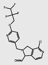 O=CC1c2ccnc(Cl)c2CN1Cc1ccc(OCC(F)(F)C(F)F)nc1